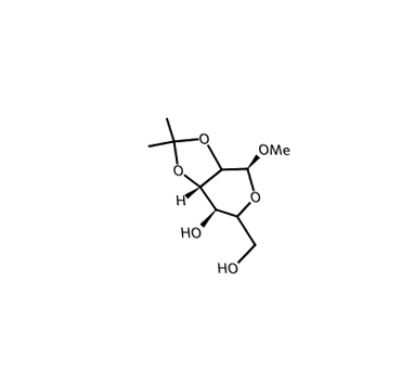 CO[C@H]1OC(CO)[C@@H](O)[C@@H]2OC(C)(C)OC12